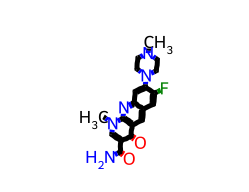 CN1CCN(c2cc3nc4c(cc3cc2F)c(=O)c(C(N)=O)cn4C)CC1